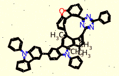 CC1C=C2c3nc(-c4ccccc4)nc(n3)-c3cccc4oc5ccc(cc5c34)C3(C)C=C4c5cc(-c6ccc7c(c6)c6ccccc6n7-c6ccccc6)ccc5N(c5ccccc5)C4(C)C1=C3C2C